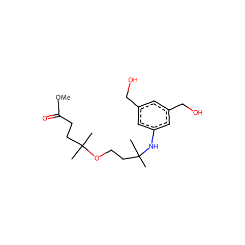 COC(=O)CCC(C)(C)OCCC(C)(C)Nc1cc(CO)cc(CO)c1